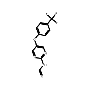 O=CNc1ncc(Oc2ccc(C(F)(F)F)cc2)cn1